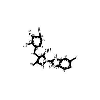 Cc1ccc2[nH]c(-n3nc(C)c(Cc4ccc(F)c(F)c4F)c3O)nc2c1